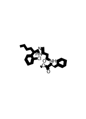 CCCCC(c1ncc(CC(=O)N[C@@H](Cc2ccccc2)C(=O)OC)[nH]1)c1ccccc1Cl